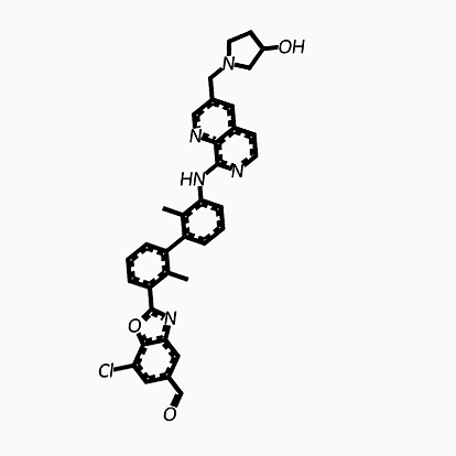 Cc1c(Nc2nccc3cc(CN4CCC(O)C4)cnc23)cccc1-c1cccc(-c2nc3cc(C=O)cc(Cl)c3o2)c1C